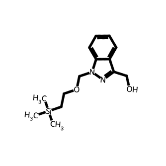 C[Si](C)(C)CCOCn1nc(CO)c2ccccc21